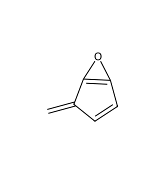 C=C1C=CC2=C1O2